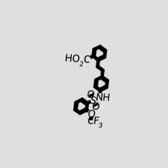 O=C(O)c1ccccc1CCc1ccc(NS(=O)(=O)c2ccccc2OC(F)(F)F)cc1